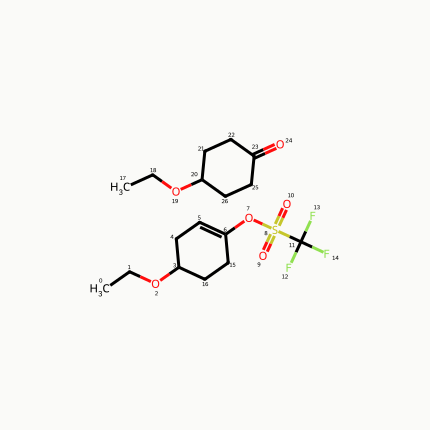 CCOC1CC=C(OS(=O)(=O)C(F)(F)F)CC1.CCOC1CCC(=O)CC1